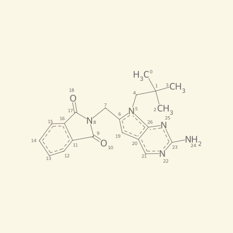 CC(C)(C)Cn1c(CN2C(=O)c3ccccc3C2=O)cc2cnc(N)nc21